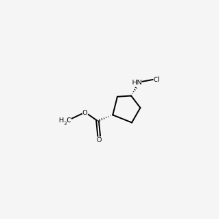 COC(=O)[C@H]1CC[C@@H](NCl)C1